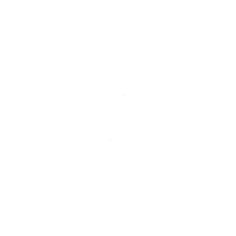 CCCCCCCCCC(=O)C(CCCCCCCC)C(=O)O